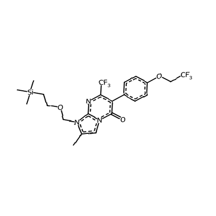 Cc1cn2c(=O)c(-c3ccc(OCC(F)(F)F)cc3)c(C(F)(F)F)nc2n1COCC[Si](C)(C)C